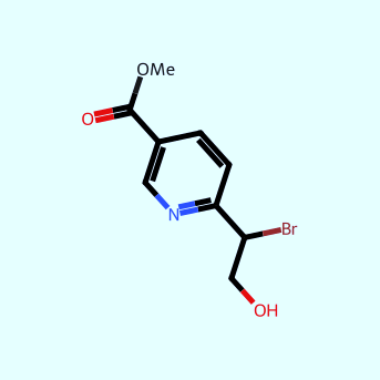 COC(=O)c1ccc(C(Br)CO)nc1